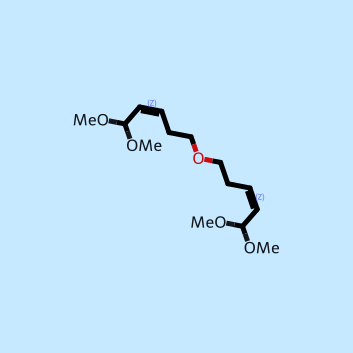 COC(/C=C\CCOCC/C=C\C(OC)OC)OC